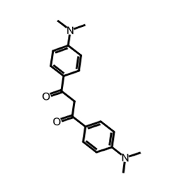 CN(C)c1ccc(C(=O)CC(=O)c2ccc(N(C)C)cc2)cc1